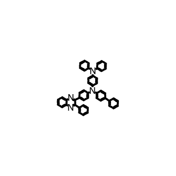 c1ccc(-c2ccc(N(c3ccc(-c4nc5ccccc5nc4-c4ccccc4)cc3)c3ccc(N(c4ccccc4)c4ccccc4)cc3)cc2)cc1